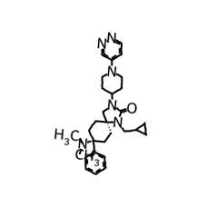 CN(C)[C@]1(c2ccccc2)CC[C@]2(CC1)CN(C1CCN(c3ccnnc3)CC1)C(=O)N2CC1CC1